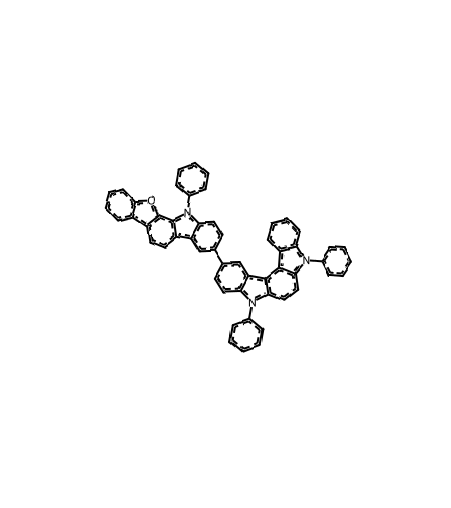 c1ccc(-n2c3ccccc3c3c4c5cc(-c6ccc7c(c6)c6ccc8c9ccccc9oc8c6n7-c6ccccc6)ccc5n(-c5ccccc5)c4ccc32)cc1